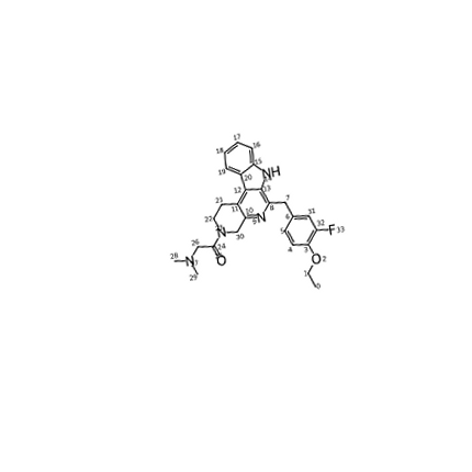 CCOc1ccc(Cc2nc3c(c4c2[nH]c2ccccc24)CCN(C(=O)CN(C)C)C3)cc1F